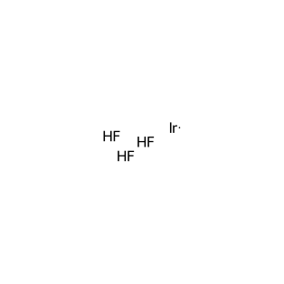 F.F.F.[Ir]